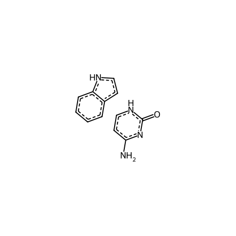 Nc1cc[nH]c(=O)n1.c1ccc2[nH]ccc2c1